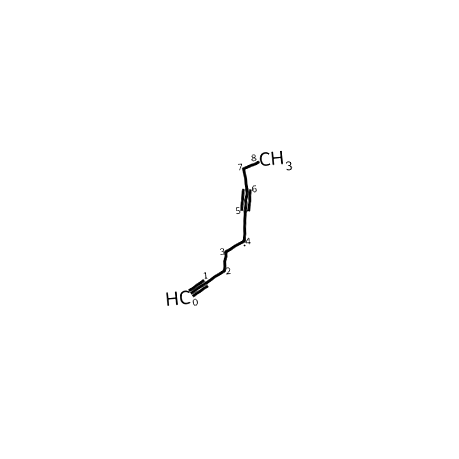 C#CCC[CH]C#CCC